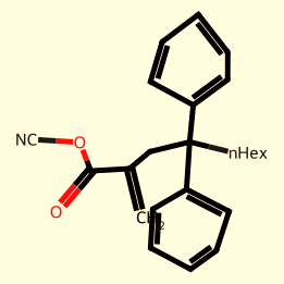 C=C(CC(CCCCCC)(c1ccccc1)c1ccccc1)C(=O)OC#N